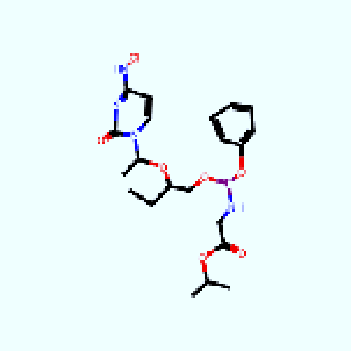 CCC(COP(NCC(=O)OC(C)C)Oc1ccccc1)OC(C)n1ccc(NO)nc1=O